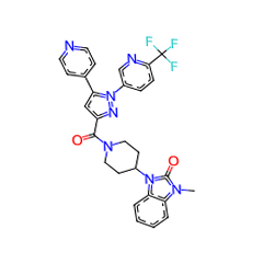 Cn1c(=O)n(C2CCN(C(=O)c3cc(-c4ccncc4)n(-c4ccc(C(F)(F)F)nc4)n3)CC2)c2ccccc21